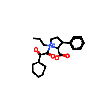 CCC[N+]1(C(=O)C(=O)C2CCCCC2)CCC(c2ccccc2)[C@H]1C(=O)[O-]